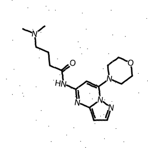 CN(C)CCCC(=O)Nc1cc(N2CCOCC2)n2nccc2n1